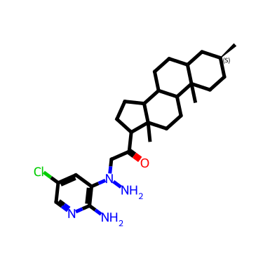 C[C@H]1CCC2(C)C(CCC3C2CCC2(C)C(C(=O)CN(N)c4cc(Cl)cnc4N)CCC32)C1